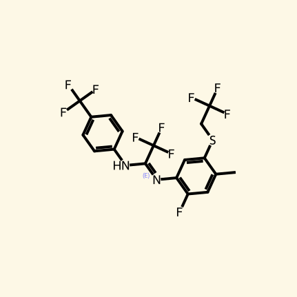 Cc1cc(F)c(/N=C(/Nc2ccc(C(F)(F)F)cc2)C(F)(F)F)cc1SCC(F)(F)F